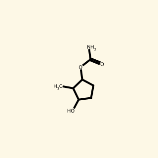 CC1C(O)CCC1OC(N)=O